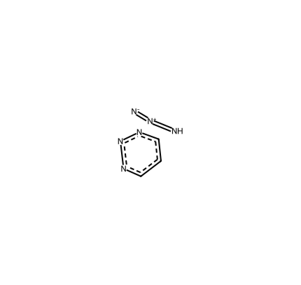 [N-]=[N+]=N.c1cnnnc1